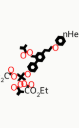 C=C(C)C(=O)OCc1cc(CCCOc2ccc(CCCCCC)cc2)ccc1-c1ccc(OCC(COC(=O)C(=C)C)(COC(=O)C(=O)OCC)COC(=O)C(=O)OCC)cc1